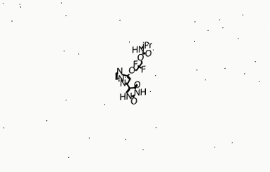 CC(C)NC(=O)OCC(F)(F)COc1cc(-c2c[nH]c(=O)[nH]c2=O)nn2ccnc12